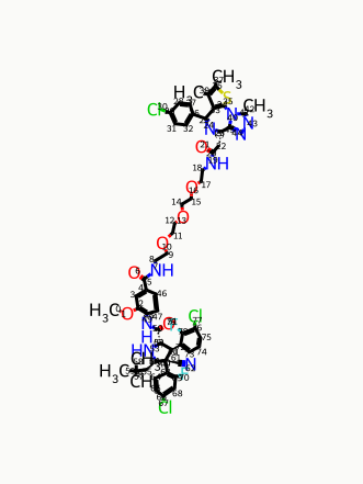 COc1cc(C(=O)NCCOCCOCCOCCNC(=O)C[C@@H]2N=C(c3ccc(Cl)cc3)c3c(sc(C)c3C)-n3c(C)nnc32)ccc1NC(=O)[C@H]1N[C@H](CC(C)(C)C)[C@@](C#N)(c2ccc(Cl)cc2F)[C@@H]1c1cccc(Cl)c1F